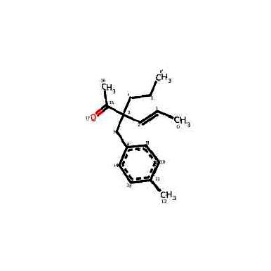 CC=CC(CCC)(Cc1ccc(C)cc1)C(C)=O